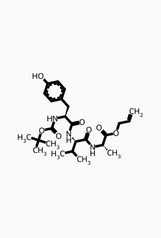 C=CCOC(=O)[C@H](C)NC(=O)[C@@H](NC(=O)[C@H](Cc1ccc(O)cc1)NC(=O)OC(C)(C)C)C(C)C